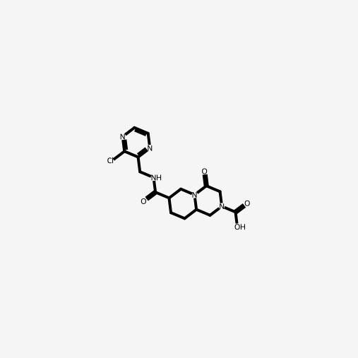 O=C(NCc1nccnc1Cl)C1CCC2CN(C(=O)O)CC(=O)N2C1